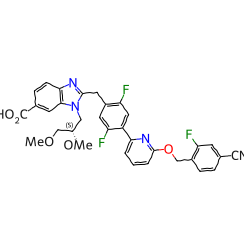 COC[C@H](Cn1c(Cc2cc(F)c(-c3cccc(OCc4ccc(C#N)cc4F)n3)cc2F)nc2ccc(C(=O)O)cc21)OC